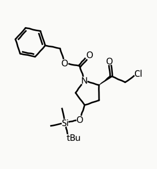 CC(C)(C)[Si](C)(C)OC1C[C@H](C(=O)CCl)N(C(=O)OCc2ccccc2)C1